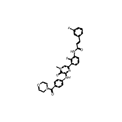 Cn1cc(-c2cccc(NC(=O)C=Cc3cccc(F)c3)c2F)nc(Nc2ccc(C(=O)N3CCOCC3)cc2)c1=O